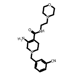 N#Cc1cccc(CN2CCC(C(=O)NCCN3CCOCC3)=C(N)C2)c1